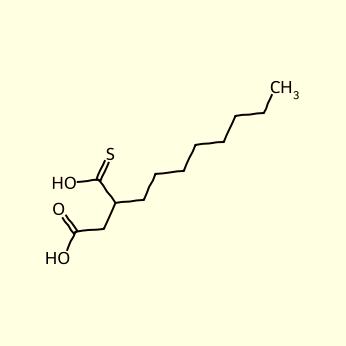 CCCCCCCCC(CC(=O)O)C(O)=S